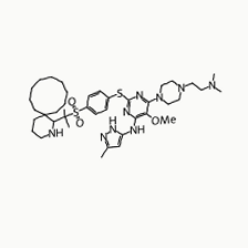 COc1c(Nc2cc(C)n[nH]2)nc(Sc2ccc(S(=O)(=O)C(C)(C)C3NCCCC34CCCCCCCCC4)cc2)nc1N1CCN(CCN(C)C)CC1